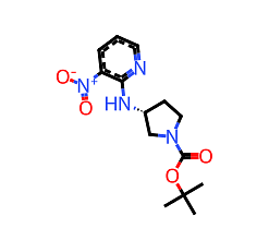 CC(C)(C)OC(=O)N1CC[C@@H](Nc2ncccc2[N+](=O)[O-])C1